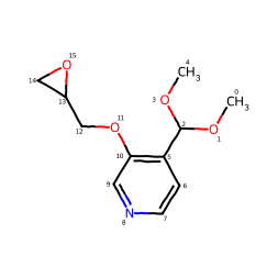 COC(OC)c1ccncc1OCC1CO1